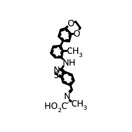 Cc1c(Nc2nsc3cc(C=N[C@H](C)C(=O)O)ccc23)cccc1-c1ccc2c(c1)OCCO2